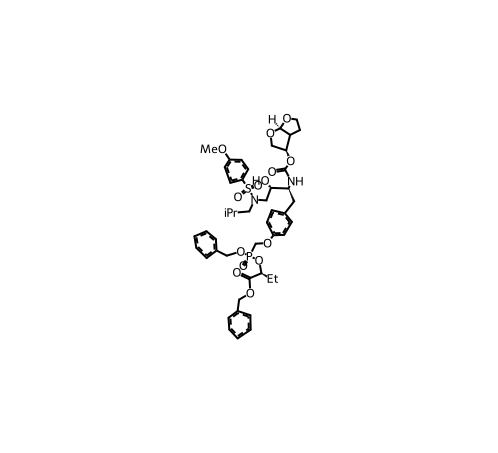 CC[C@H](OP(=O)(COc1ccc(C[C@H](NC(=O)O[C@H]2CO[C@H]3OCCC32)[C@H](O)CN(CC(C)C)S(=O)(=O)c2ccc(OC)cc2)cc1)OCc1ccccc1)C(=O)OCc1ccccc1